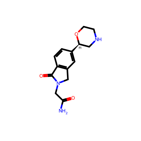 NC(=O)CN1Cc2cc([C@@H]3CNCCO3)ccc2C1=O